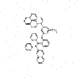 Cc1cc(-c2c3ccccc3c(N(c3ccccc3)c3ccc4ccccc4c3)c3ccccc23)cc(-c2ccc3ccc4cccc5ccc2c3c45)c1